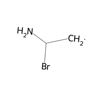 [CH2]C(N)Br